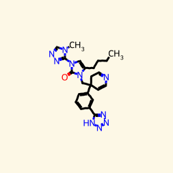 CCCCc1cn(-c2nncn2C)c(=O)n1CC1(c2cccc(-c3nnn[nH]3)c2)C=CN=CC1